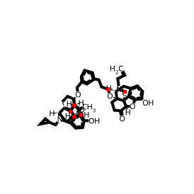 C=CCN1CC[C@]23c4c5ccc(O)c4O[C@H]2C(=O)CC[C@@]3(OCCCc2cccc(CO[C@]34CC[C@@]6(C[C@@H]3C(C)(C)O)[C@H]3Cc7ccc(O)c8c7[C@@]6(CCN3CC3CC3)[C@H]4O8)c2)[C@H]1C5